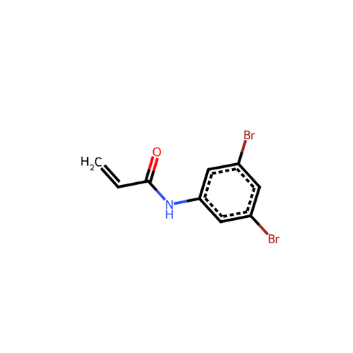 C=CC(=O)Nc1cc(Br)cc(Br)c1